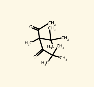 CC(=O)C(C)(C(=O)C(C)(C)C)C(C)(C)C